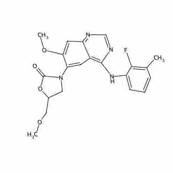 COCC1CN(c2cc3c(Nc4cccc(C)c4F)ncnc3cc2OC)C(=O)O1